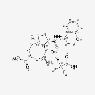 CNC(=O)N1CC[C@H]2CC[C@@H](C(=O)N[C@@H]3CCOc4ccccc43)N2C(=O)[C@@H](N)C1.O=C(O)C(F)(F)F